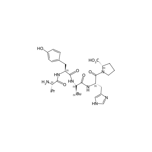 CC[C@H](C)[C@H](NC(=O)[C@H](Cc1ccc(O)cc1)NC(=O)[C@@H](N)C(C)C)C(=O)N[C@@H](Cc1c[nH]cn1)C(=O)N1CCC[C@H]1C(=O)O